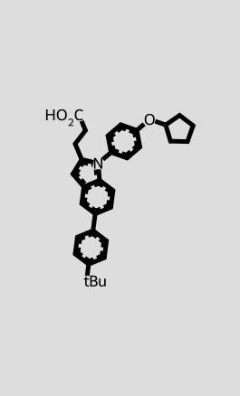 CC(C)(C)c1ccc(-c2ccc3c(c2)cc(CCC(=O)O)n3-c2ccc(OC3CCCC3)cc2)cc1